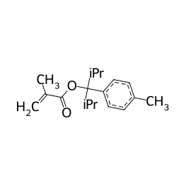 C=C(C)C(=O)OC(c1ccc(C)cc1)(C(C)C)C(C)C